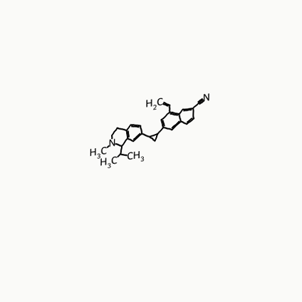 C=Cc1cc(C2CC2c2ccc3c(c2)C(C(C)C)N(C)CC3)cc2ccc(C#N)cc12